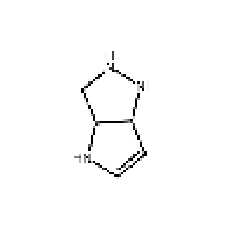 C1=CC2NNCC2N1